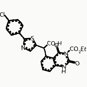 CCOC(=O)n1c(=O)[nH]c2cccc(C(C(=O)O)c3cnc(-c4ccc(Cl)cc4)s3)c2c1=O